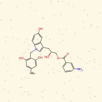 CCCCc1cc(O)c(Cn2cc(C[C@H](O)COC(=O)c3cccc(N)c3)c3cc(O)ccc32)c(O)c1